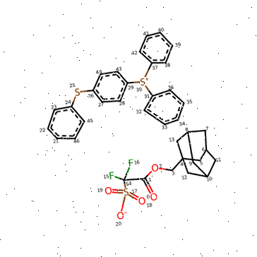 O=C(OCC12CC3CC(CC(C3)C1)C2)C(F)(F)S(=O)(=O)[O-].c1ccc(Sc2ccc([S+](c3ccccc3)c3ccccc3)cc2)cc1